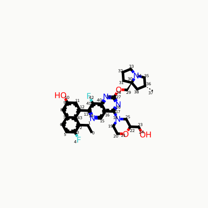 CCc1c(F)ccc2cc(O)cc(-c3ncc4c(N5CCOC(CO)C5)nc(OC[C@@]56CCCN5C[C@H](C)C6)nc4c3F)c12